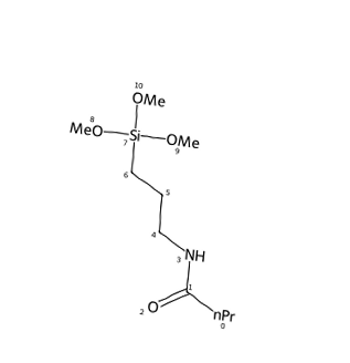 CCCC(=O)NCCC[Si](OC)(OC)OC